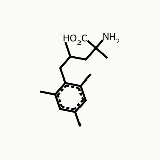 Cc1cc(C)c(CC(C)CC(C)(N)C(=O)O)c(C)c1